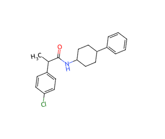 CC(C(=O)NC1CCC(c2ccccc2)CC1)c1ccc(Cl)cc1